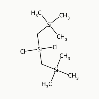 C[Si](C)(C)C[Si](Cl)(Cl)C[Si](C)(C)C